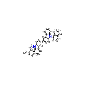 C=Cc1ccccc1/C=C\n1c2ccccc2c2cc(-c3ccc4c(c3)c3ccccc3n4-c3cccc4ccccc34)ccc21